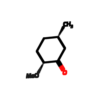 CO[C@@H]1CC[C@H](C)CC1=O